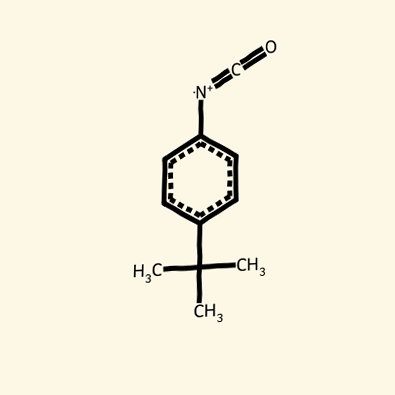 CC(C)(C)c1ccc([N+]=C=O)cc1